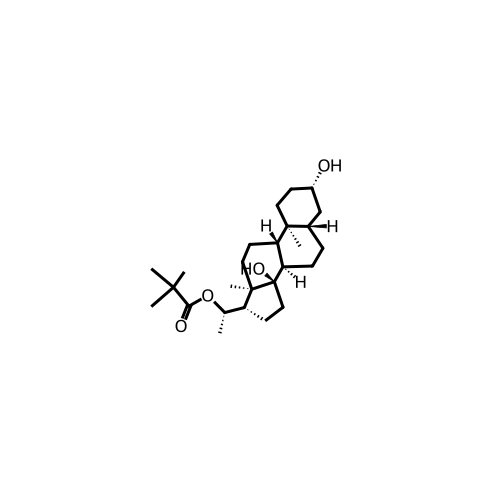 C[C@H](OC(=O)C(C)(C)C)[C@H]1CC[C@@]2(O)[C@@H]3CC[C@H]4C[C@@H](O)CC[C@]4(C)[C@H]3CC[C@]12C